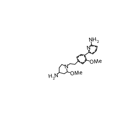 COc1cc(CCN2CCC(N)CC2OC)ccc1-c1cccc(N)n1